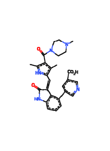 Cc1[nH]c(C=C2C(=O)Nc3cccc(-c4cncc(C(=O)O)c4)c32)c(C)c1C(=O)N1CCN(C)CC1